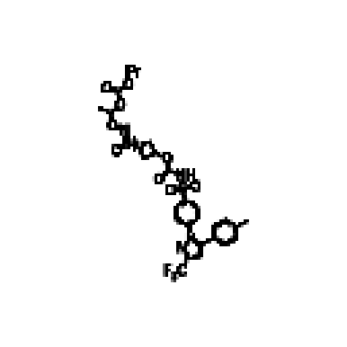 Cc1ccc(-c2cc(C(F)(F)F)nn2-c2ccc(S(=O)(=O)NC(=O)OC3CN(/[N+]([O-])=N/OC(C)OC(=O)OC(C)C)C3)cc2)cc1